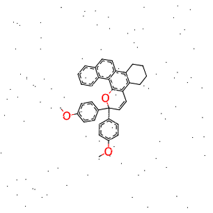 COc1ccc(C2(c3ccc(OC)cc3)C=Cc3c4c(c5ccc6ccccc6c5c3O2)CCCC4)cc1